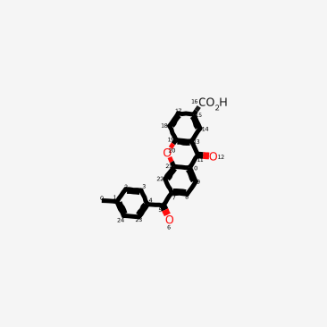 Cc1ccc(C(=O)c2ccc3c(=O)c4cc(C(=O)O)ccc4oc3c2)cc1